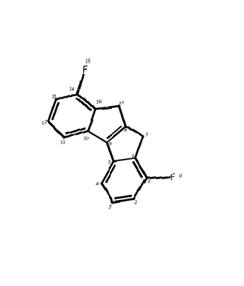 Fc1cccc2c1CC1=C2c2cccc(F)c2C1